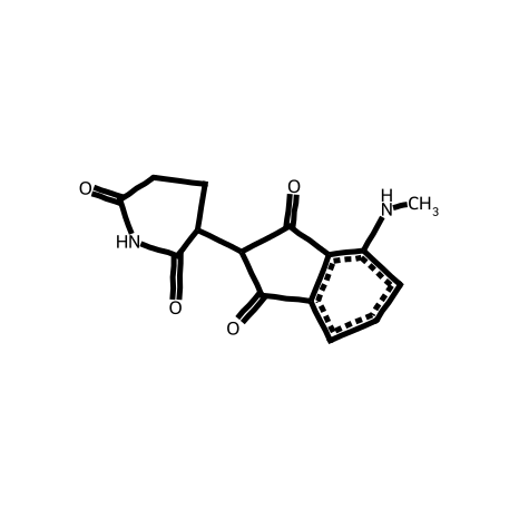 CNc1cccc2c1C(=O)C(C1CCC(=O)NC1=O)C2=O